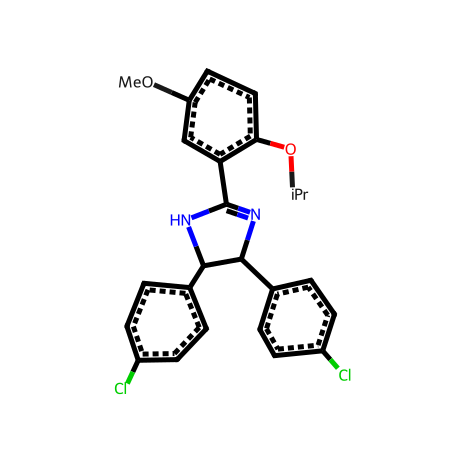 COc1ccc(OC(C)C)c(C2=NC(c3ccc(Cl)cc3)C(c3ccc(Cl)cc3)N2)c1